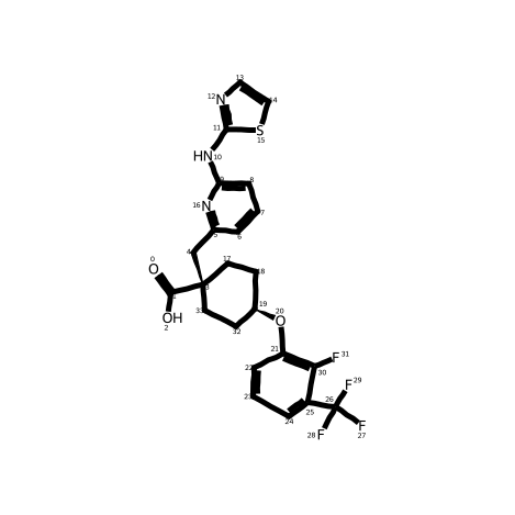 O=C(O)[C@]1(Cc2cccc(Nc3nccs3)n2)CC[C@@H](Oc2cccc(C(F)(F)F)c2F)CC1